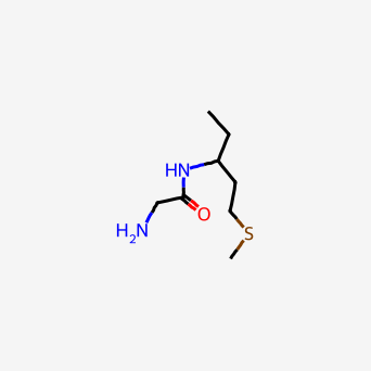 CCC(CCSC)NC(=O)CN